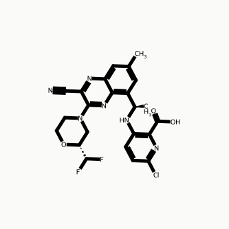 Cc1cc([C@@H](C)Nc2ccc(Cl)nc2C(=O)O)c2nc(N3CCO[C@@H](C(F)F)C3)c(C#N)nc2c1